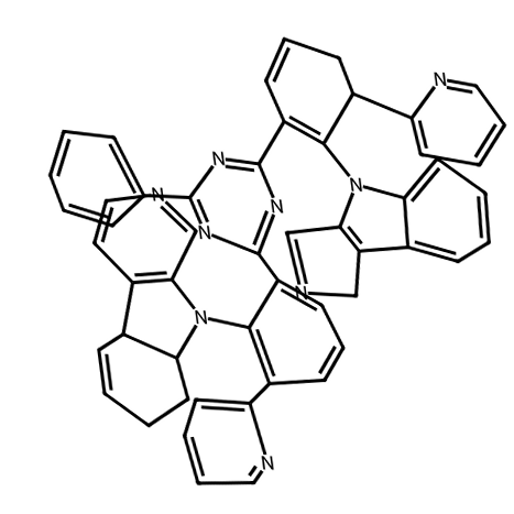 C1=CC2c3ccncc3N(c3c(-c4ccccn4)cccc3-c3nc(C4=C(n5c6c(c7ccccc75)CN=C6)C(c5ccccn5)CC=C4)nc(-c4ccccc4)n3)C2CC1